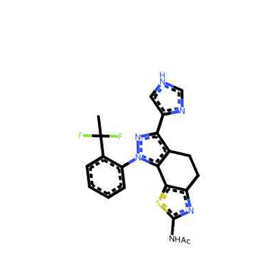 CC(=O)Nc1nc2c(s1)-c1c(c(-c3c[nH]cn3)nn1-c1ccccc1C(C)(F)F)CC2